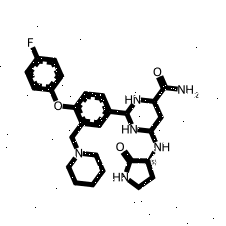 NC(=O)C1CC(N[C@H]2CCNC2=O)NC(c2ccc(Oc3ccc(F)cc3)c(CN3CCCCC3)c2)N1